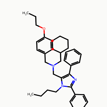 CCCCn1c(-c2ccccc2)nc(-c2ccccc2)c1CN(Cc1ccc(OCCC)cc1)CC1CCCCC1